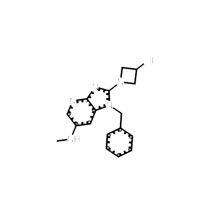 CNc1cnc2nc(N3CC(O)C3)n(Cc3ccccc3)c2c1